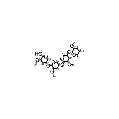 COC1C[C@H](C)CO[C@@H]1OC1=CO[C@@H](O[C@@H]2CO[C@H](O[C@H]3CO[C@@H](O)C(OC)C3)C(OC)C2)C(OC)C1